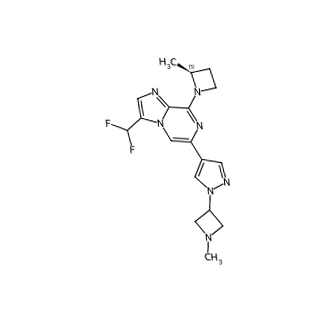 C[C@H]1CCN1c1nc(-c2cnn(C3CN(C)C3)c2)cn2c(C(F)F)cnc12